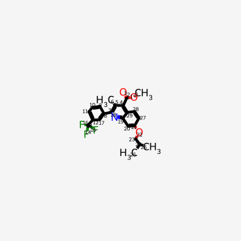 COC(=O)c1c(C)c(-c2cccc(C(F)(F)F)c2)nc2cc(OCC(C)C)ccc12